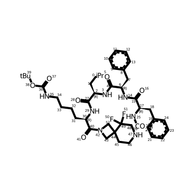 CC(C)C[C@@H](NC(=O)[C@@H](Cc1ccccc1)NC(=O)[C@@H](Cc1ccccc1)NC(=O)O)C(=O)N[C@H](CCCCNC(=O)OC(C)(C)C)C(=O)N1CC2(CCNCC2(F)F)C1